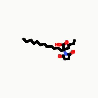 CCCCCCCCCCCCC(CCCC)(C(=O)O)N1C(=O)CCC1=O